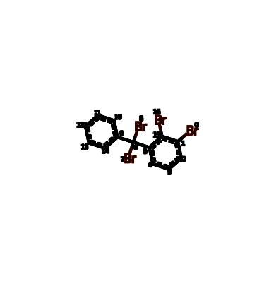 Brc1[c]ccc(C(Br)(Br)c2cc[c]cc2)c1Br